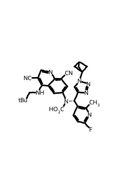 Cc1nc(F)ccc1[C@@H](c1cn(C23CC(C2)C3)nn1)N(C(=O)O)c1cc(C#N)c2ncc(C#N)c(NCC(C)(C)C)c2c1